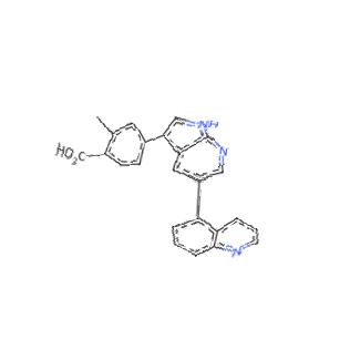 Cc1cc(-c2c[nH]c3ncc(-c4cccc5ncccc45)cc23)ccc1C(=O)O